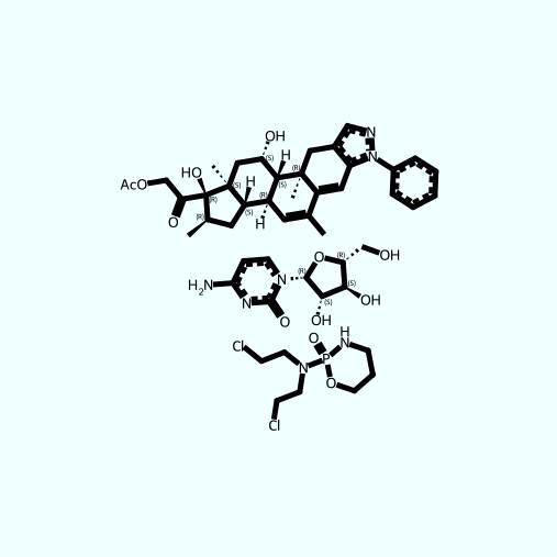 CC(=O)OCC(=O)[C@@]1(O)[C@H](C)C[C@H]2[C@@H]3C=C(C)C4=Cc5c(cnn5-c5ccccc5)C[C@]4(C)[C@H]3[C@@H](O)C[C@@]21C.Nc1ccn([C@@H]2O[C@H](CO)[C@@H](O)[C@@H]2O)c(=O)n1.O=P1(N(CCCl)CCCl)NCCCO1